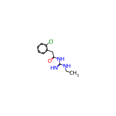 CCNC(=N)NC(=O)Cc1ccccc1Cl